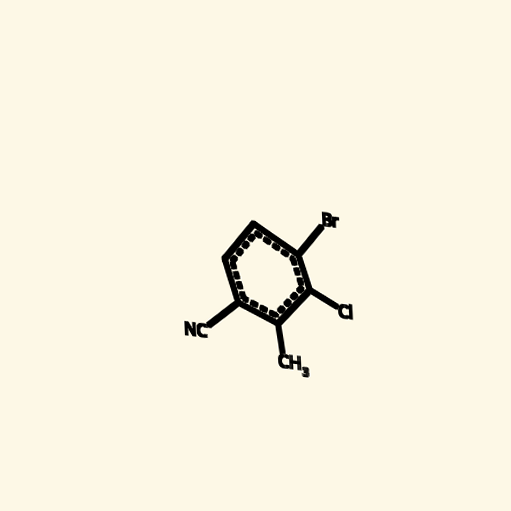 Cc1c(C#N)ccc(Br)c1Cl